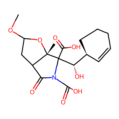 COC1CC2C(=O)N(C(=O)O)C(C(=O)O)([C@@H](O)[C@@H]3C=CCCC3)[C@@]2(C)O1